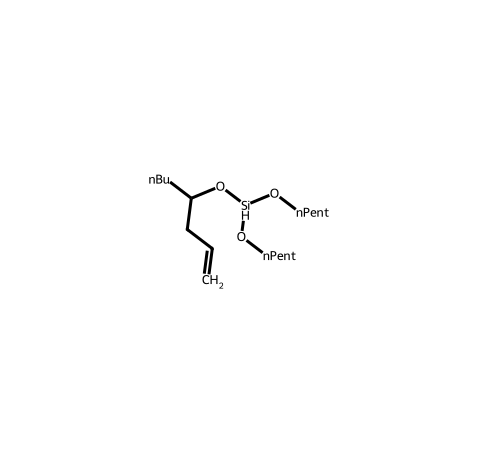 C=CCC(CCCC)O[SiH](OCCCCC)OCCCCC